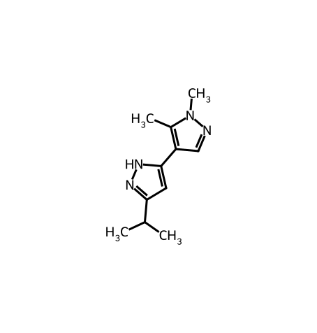 Cc1c(-c2cc(C(C)C)n[nH]2)cnn1C